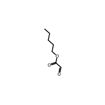 CCCCCOC(=O)C=O